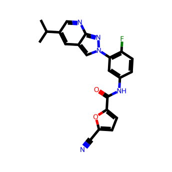 CC(C)c1cnc2nn(-c3cc(NC(=O)c4ccc(C#N)o4)ccc3F)cc2c1